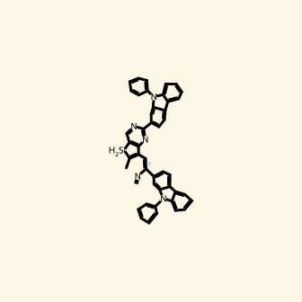 C=N/C(=C\C1=C(C)[SiH2]c2cnc(-c3ccc4c5ccccc5n(-c5ccccc5)c4c3)nc21)c1ccc2c3ccccc3n(-c3ccccc3)c2c1